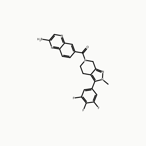 Bc1cnc2cc(C(=O)N3CCc4c(nn(C)c4-c4cc(F)c(F)c(F)c4)C3)ccc2n1